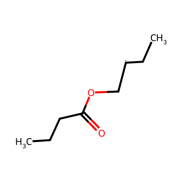 CC[CH]COC(=O)CCC